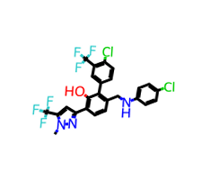 Cn1nc(-c2ccc(CNc3ccc(Cl)cc3)c(-c3ccc(Cl)c(C(F)(F)F)c3)c2O)cc1C(F)(F)F